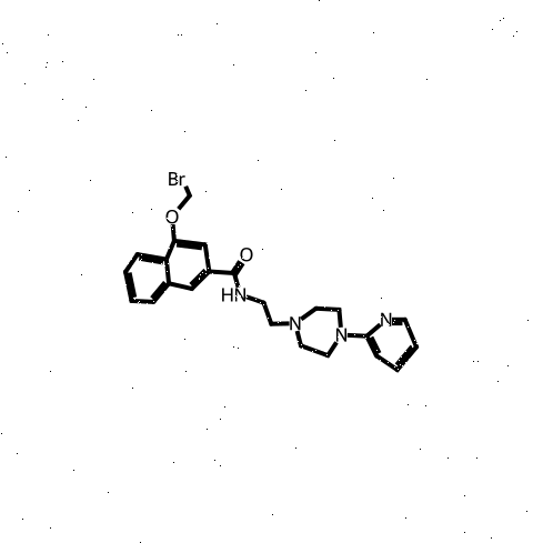 O=C(NCCN1CCN(c2ccccn2)CC1)c1cc(OCBr)c2ccccc2c1